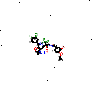 COc1cc(C(=O)NCC(O)(c2cc3c(c(-c4ccc(F)c(Cl)c4)n2)OCC3(C)N)C(F)(F)F)ccc1OC1CC1